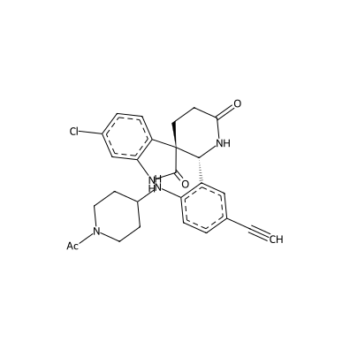 C#Cc1ccc(NC2CCN(C(C)=O)CC2)c([C@H]2NC(=O)CC[C@]23C(=O)Nc2cc(Cl)ccc23)c1